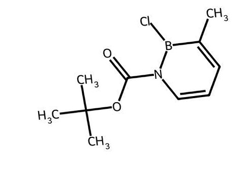 CC1=CC=CN(C(=O)OC(C)(C)C)B1Cl